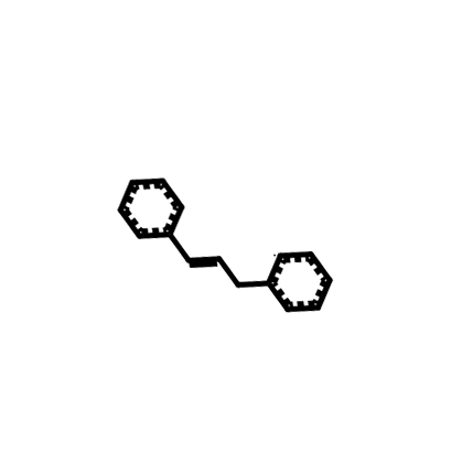 [c]1ccccc1CC=Cc1ccccc1